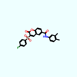 Cc1ccc(NC(=O)c2ccc3oc(=O)c(S(=O)(=O)c4ccc(F)cc4)cc3c2)cc1C